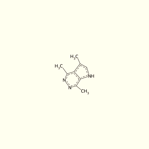 Cc1nnc(C)c2c(C)c[nH]c12